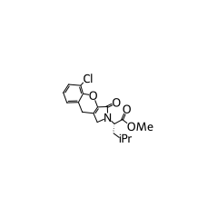 COC(=O)[C@H](CC(C)C)N1CC2=C(Oc3c(Cl)cccc3C2)C1=O